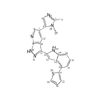 Cc1ncc(-c2cnc3[nH]nc(-c4cc5c(-c6cccs6)cccc5[nH]4)c3c2)n1C